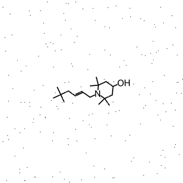 CC(C)(C)CC=CCN1C(C)(C)CC(O)CC1(C)C